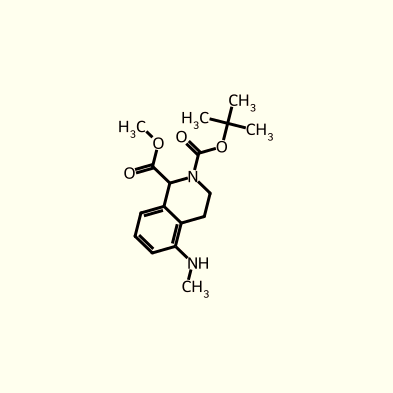 CNc1cccc2c1CCN(C(=O)OC(C)(C)C)C2C(=O)OC